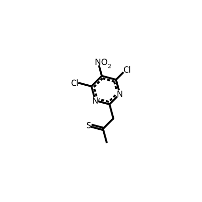 CC(=S)Cc1nc(Cl)c([N+](=O)[O-])c(Cl)n1